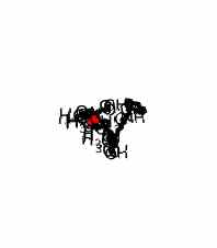 CC1(C)C(/C=C/C2=C(Oc3ccc(S(=O)(=O)O)cc3)C(=C/C=C3/N(CCCCCC(=O)NCCC(=O)N4Cc5ccccc5C#Cc5ccccc54)c4ccc(S(=O)(=O)O)cc4C3(C)C)/CCC2)=[N+](CCCCS(=O)(=O)O)c2ccc(S(=O)(=O)O)cc21